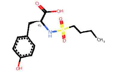 CCCCS(=O)(=O)N[C@@H](Cc1ccc(O)cc1)C(=O)O